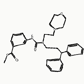 COC(=O)c1cccc(NC(=O)N(CCC(c2ccccc2)c2ccccc2)CCN2CCOCC2)c1